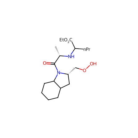 CCCC(N[C@@H](C)C(=O)N1C2CCCCC2C[C@H]1COO)C(=O)OCC